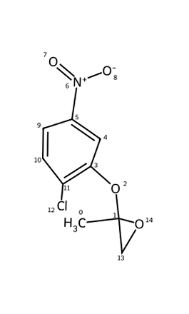 CC1(Oc2cc([N+](=O)[O-])ccc2Cl)CO1